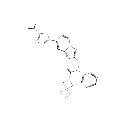 O=C(N1CC2(CNC2)C1)N(Cc1cn2ccc(-c3nnc(C(F)F)o3)cc2n1)c1ccccc1